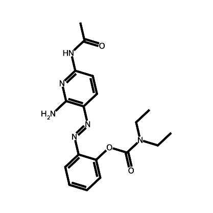 CCN(CC)C(=O)Oc1ccccc1/N=N/c1ccc(NC(C)=O)nc1N